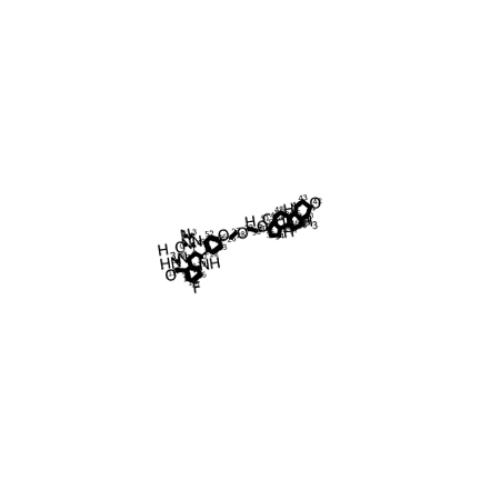 Cn1ncnc1[C@H]1c2n[nH]c(=O)c3cc(F)cc(c23)N[C@@H]1c1ccc(OCCOCCO[C@H]2CC[C@H]3[C@@H]4CC[C@H]5CC(=O)CC[C@]5(C)[C@H]4CC[C@]23C)cc1